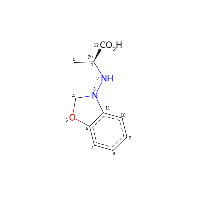 C[C@H](NN1COc2ccccc21)C(=O)O